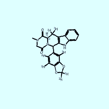 [2H]c1c([2H])c(C2c3[nH]c4ccccc4c3C([2H])([2H])[C@@H]3C(=O)N(C)CC(=O)N23)c([2H])c2c1OC([2H])([2H])O2